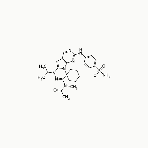 CC(=O)N(C)C1=NN(C(C)C)c2cc3cnc(Nc4ccc(S(N)(=O)=O)cc4)nc3n2C12CCCCC2